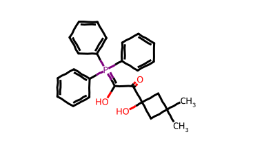 CC1(C)CC(O)(C(=O)C(O)=P(c2ccccc2)(c2ccccc2)c2ccccc2)C1